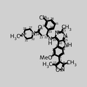 COc1cc2c(cc1-c1c(C)noc1C)[nH]c1nc(C)nc(N[C@H](CC(=O)N3CCN(C)CC3)c3cccc(Cl)c3)c12